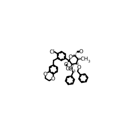 COC1(c2ccc(Cl)c(Cc3ccc4c(c3)OCCO4)c2)O[C@H](C=O)[C@@H](C)[C@H](OCc2ccccc2)[C@H]1OCc1ccccc1